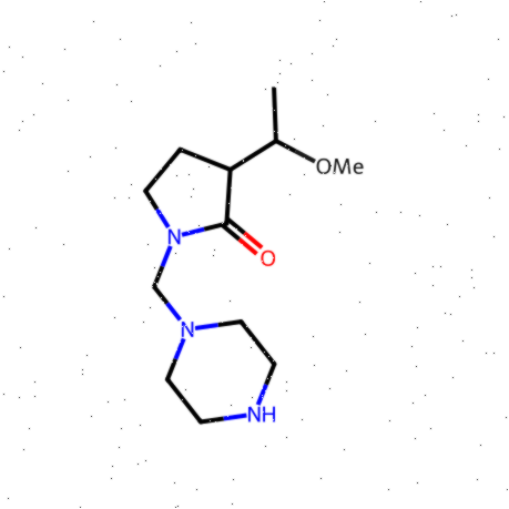 COC(C)C1CCN(CN2CCNCC2)C1=O